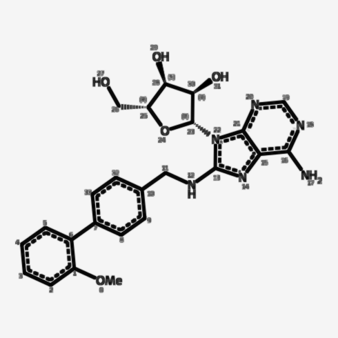 COc1ccccc1-c1ccc(CNc2nc3c(N)ncnc3n2[C@@H]2O[C@H](CO)[C@@H](O)[C@H]2O)cc1